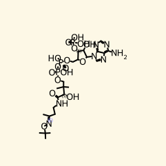 C/C(CCNC(=O)[C@@H](O)C(C)(C)COP(=O)(O)OP(=O)(O)OCC1OC(n2cnc3c(N)ncnc32)C(O)[C@@H]1OP(=O)(O)O)=N\OC(C)(C)C